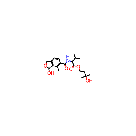 Cc1c(C(=O)NC(C(=O)OCCC(C)(C)O)C(C)C)ccc2c1B(O)OC2